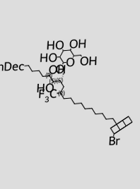 CCCCCCCCCCCCCC[C@@H](O)[C@@H](O)[C@H](COC1OC(CO)C(O)C(O)C1O)C[C@@H](CCCCCCCCCCC12C3C4C5C3C1C5(Br)C42)C(F)(F)F